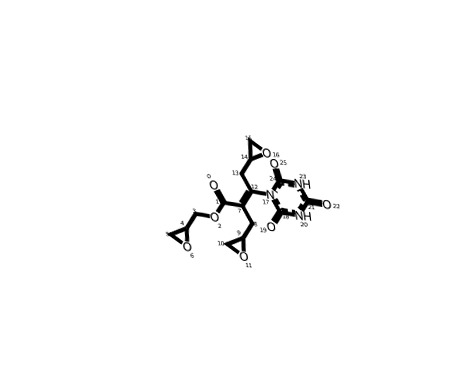 O=C(OCC1CO1)C(CC1CO1)=C(CC1CO1)n1c(=O)[nH]c(=O)[nH]c1=O